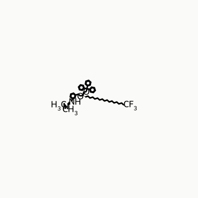 CN(C)CCNc1cccc(CO[C@@H](CCCCCCCCCCCCCCCCCC(F)(F)F)COC(c2ccccc2)(c2ccccc2)c2ccccc2)c1